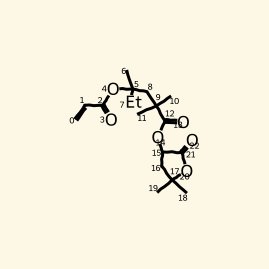 C=CC(=O)OC(C)(CC)CC(C)(C)C(=O)OC1CC(C)(C)OC1=O